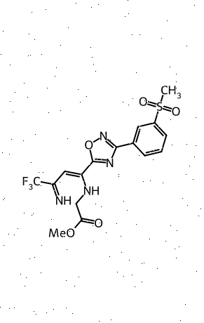 COC(=O)CN/C(=C\C(=N)C(F)(F)F)c1nc(-c2cccc(S(C)(=O)=O)c2)no1